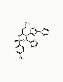 Cc1ccc(S(=O)(=O)OC(CCN)N(Cc2nccs2)c2nc(-n3ccnc3)ns2)cc1